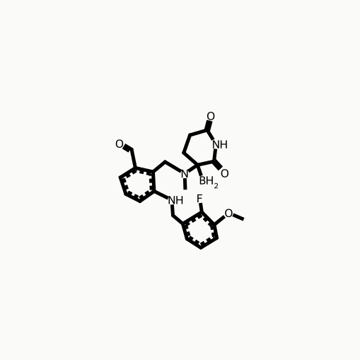 BC1(N(C)Cc2c(C=O)cccc2NCc2cccc(OC)c2F)CCC(=O)NC1=O